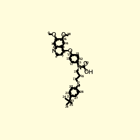 COc1cc2nccc(Oc3ccc(N(CCCSc4ccc(C(C)(C)C)cc4)C(=O)O)cc3)c2cc1OC